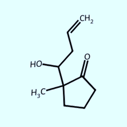 C=CCC(O)C1(C)CCCC1=O